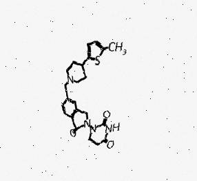 Cc1ccc(C2CCN(Cc3ccc4c(c3)CN(N3CCC(=O)NC3=O)C4=O)CC2)s1